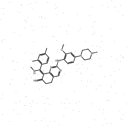 CN/C(=C1\C(=N)CCc2cnc(Nc3ccc(N4CCN(C)CC4)cc3OC)nc21)c1ccc(C)cc1C